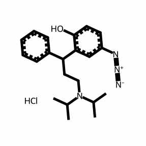 CC(C)N(CCC(c1ccccc1)c1cc(N=[N+]=[N-])ccc1O)C(C)C.Cl